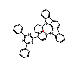 c1c(-c2nc(-c3ccccc3)nc(-c3ccccc3)n2)ccc(-n2c3ccccc3c3ccc4c5ccccc5n(C5=CC=CCC5)c4c32)c#1